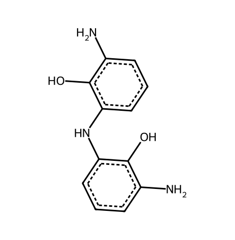 Nc1cccc(Nc2cccc(N)c2O)c1O